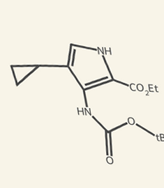 CCOC(=O)c1[nH]cc(C2CC2)c1NC(=O)OC(C)(C)C